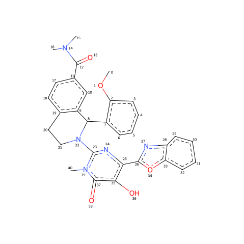 COc1ccccc1C1c2cc(C(=O)N(C)C)ccc2CCN1c1nc(-c2nc3ccccc3o2)c(O)c(=O)n1C